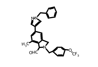 Cc1cc(-c2cnn(Cc3ccccc3)c2)cc2c1C(C=O)N(Cc1ccc(OC(F)(F)F)cc1)C2